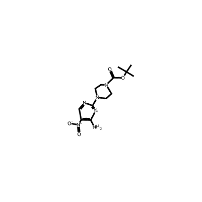 CC(C)(C)OC(=O)N1CCN(c2ncc([N+](=O)[O-])c(N)n2)CC1